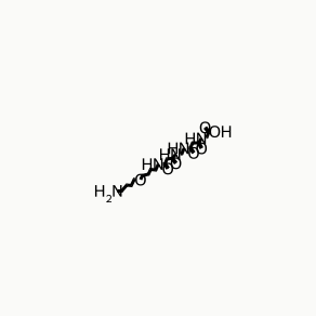 NCCCCOCCCCNC(=O)CC(=O)NCNC(=O)CC(=O)NCC(=O)O